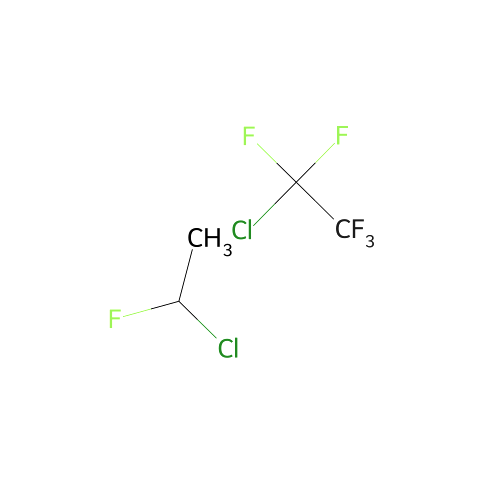 CC(F)Cl.FC(F)(F)C(F)(F)Cl